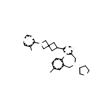 Fc1cncnc1N1CC2(CC(c3nnc4n3-c3ccc(Cl)cc3CN([C@@H]3CCOC3)C4)C2)C1